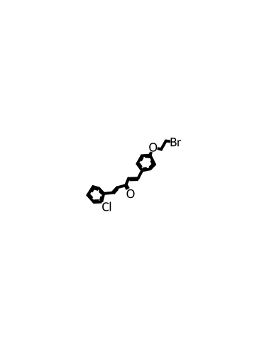 O=C(C=Cc1ccc(OCCBr)cc1)C=Cc1ccccc1Cl